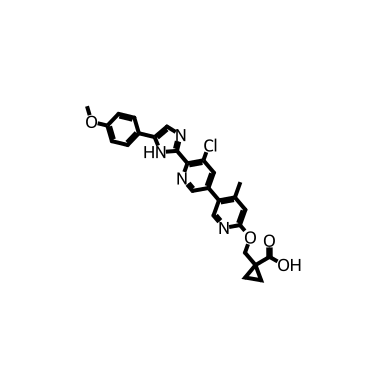 COc1ccc(-c2cnc(-c3ncc(-c4cnc(OCC5(C(=O)O)CC5)cc4C)cc3Cl)[nH]2)cc1